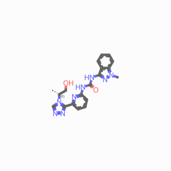 C[C@H](CO)n1cnnc1-c1cccc(NC(=O)Nc2nn(C)c3ccccc23)n1